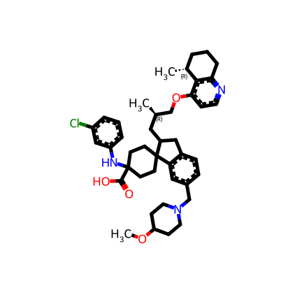 COC1CCN(Cc2ccc3c(c2)C2(CCC(Nc4cccc(Cl)c4)(C(=O)O)CC2)C(C[C@@H](C)COc2ccnc4c2[C@H](C)CCC4)C3)CC1